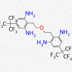 Nc1cc(C(C(F)(F)F)(C(F)(F)F)C(F)(F)F)cc(N)c1CCOCCc1c(N)cc(C(C(F)(F)F)(C(F)(F)F)C(F)(F)F)cc1N